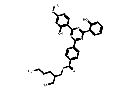 CCCCC(CC)COC(=O)c1ccc(-c2nc(-c3ccccc3O)nc(-c3ccc(OC)cc3O)n2)cc1